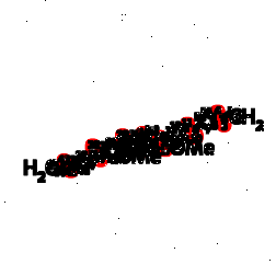 C=CC(=O)Oc1ccc(C(=O)Oc2ccc(C(=O)O[C@@H]3CO[C@H]4[C@@H]3OC[C@H]4OC(=O)c3ccc(OC(=O)c4ccc(OC(=O)C=C)cc4)cc3OC)c(OC)c2)cc1